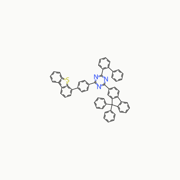 c1ccc(-c2ccccc2-c2nc(-c3ccc(-c4cccc5c4sc4ccccc45)cc3)nc(-c3ccc4c(c3)C(c3ccccc3)(c3ccccc3)c3ccccc3-4)n2)cc1